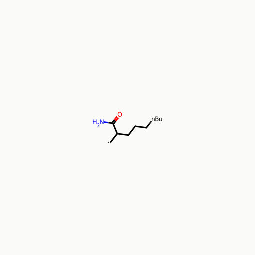 [CH2]C(CCCCCCC)C(N)=O